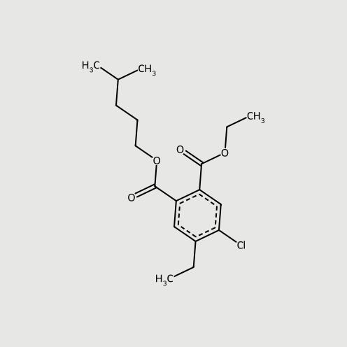 CCOC(=O)c1cc(Cl)c(CC)cc1C(=O)OCCCC(C)C